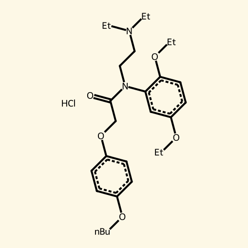 CCCCOc1ccc(OCC(=O)N(CCN(CC)CC)c2cc(OCC)ccc2OCC)cc1.Cl